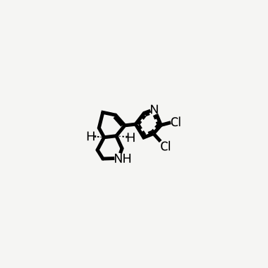 Clc1cc(C2=CCC[C@@H]3CCNC[C@H]23)cnc1Cl